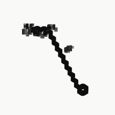 C[N+](C)(C)CCC[N+](C)(C)CCCCCCCCCCCCCCCCCCc1ccccc1.[Cl-].[Cl-]